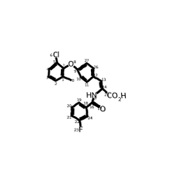 Cc1cccc(Cl)c1Oc1ccc(C=C(NC(=O)c2cccc(F)c2)C(=O)O)cc1